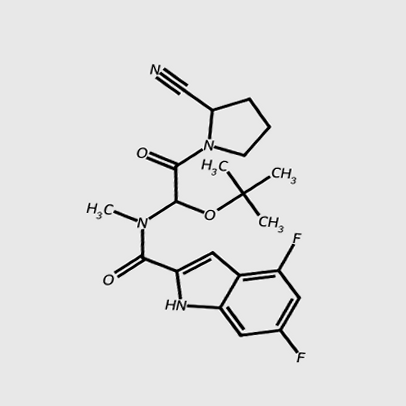 CN(C(=O)c1cc2c(F)cc(F)cc2[nH]1)C(OC(C)(C)C)C(=O)N1CCCC1C#N